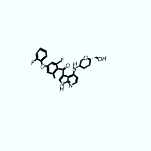 Cc1cc(Oc2ccccc2F)cc(F)c1C(=O)c1c[nH]c2nccc(N[C@@H]3CC[C@@H](CO)OC3)c12